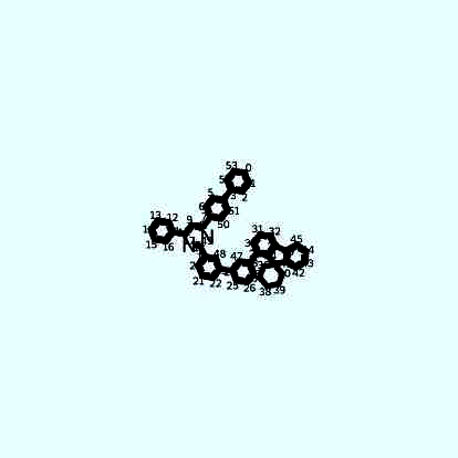 c1ccc(-c2ccc(-c3cc(-c4ccccc4)nc(-c4cccc(-c5cccc(-c6cccc7c6C6(CCCCC6)c6ccccc6-7)c5)c4)n3)cc2)cc1